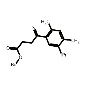 Cc1cc(C)c(C(C)C)cc1C(=S)CCC(=O)OC(C)(C)C